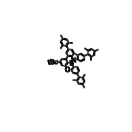 Cc1cc(C)c(-c2ccc3c(c2)Oc2cc(C(C)(C)C)cc4c2B3n2c3ccc(-c5c(C)cc(C)cc5C)cc3c3cc(-c5c(C)cc(C)cc5C)cc-4c32)c(C)c1